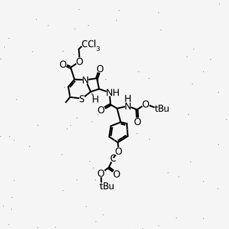 CC1C=C(C(=O)OCC(Cl)(Cl)Cl)N2C(=O)C(NC(=O)C(NC(=O)OC(C)(C)C)c3ccc(OCC(=O)OC(C)(C)C)cc3)[C@H]2S1